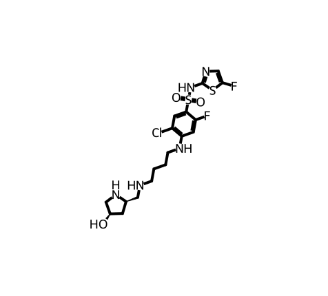 O=S(=O)(Nc1ncc(F)s1)c1cc(Cl)c(NCCCCNC[C@H]2C[C@@H](O)CN2)cc1F